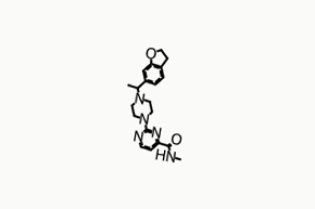 CNC(=O)c1ccnc(N2CCN(C(C)c3ccc4c(c3)OCC4)CC2)n1